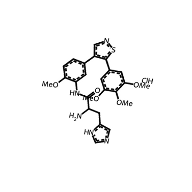 COc1ccc(-c2cnsc2-c2cc(OC)c(OC)c(OC)c2)cc1NC(=O)C(N)Cc1cnc[nH]1.Cl